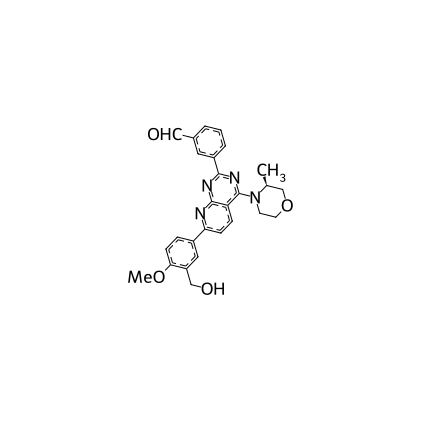 COc1ccc(-c2ccc3c(N4CCOC[C@@H]4C)nc(-c4cccc(C=O)c4)nc3n2)cc1CO